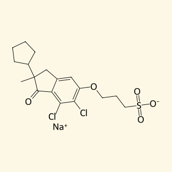 CC1(C2CCCC2)Cc2cc(OCCCS(=O)(=O)[O-])c(Cl)c(Cl)c2C1=O.[Na+]